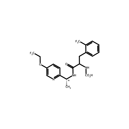 C[C@@H](NC(=O)C(Cc1ccccc1C(F)(F)F)NC(=O)O)c1ccc(OCC(F)(F)F)cn1